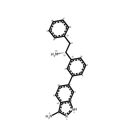 Nc1n[nH]c2cc(-c3cccc([C@H](N)Cc4ccccc4)c3)ccc12